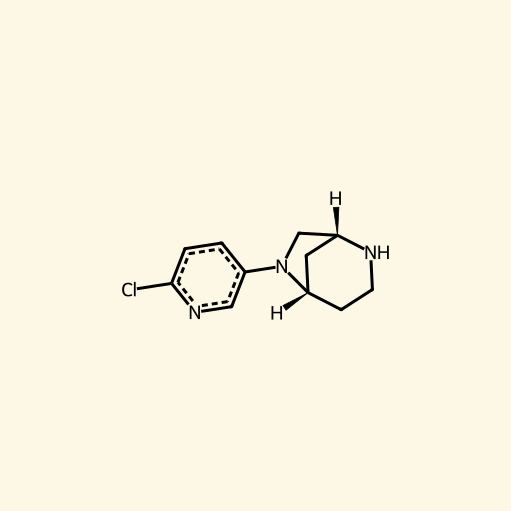 Clc1ccc(N2C[C@H]3C[C@@H]2CCN3)cn1